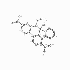 CCN1c2cc([N+](=O)[O-])ccc2-c2ccc([N+](=O)[O-])cc2C1(O)c1ccccc1